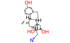 C=C[C@H]1C[C@@]2(C)[C@@H](C[C@@H](O)[C@@]2(O)CC#N)[C@@H]2CCc3cc(O)ccc3[C@H]21